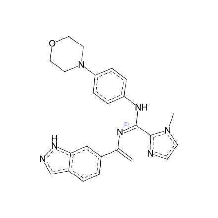 C=C(/N=C(/Nc1ccc(N2CCOCC2)cc1)c1nccn1C)c1ccc2cn[nH]c2c1